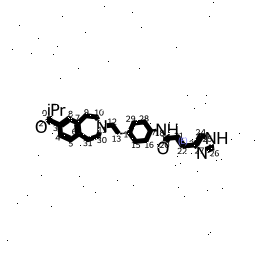 CC(C)C(=O)c1ccc2c(c1)CCN(CC[C@H]1CC[C@H](NC(=O)/C=C/c3c[nH]cn3)CC1)CC2